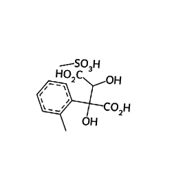 CS(=O)(=O)O.Cc1ccccc1C(O)(C(=O)O)C(O)C(=O)O